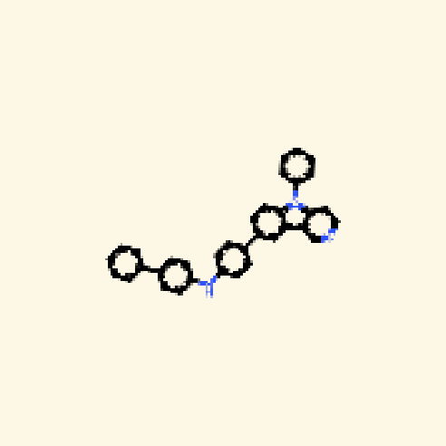 c1ccc(-c2ccc(Nc3ccc(-c4ccc5c(c4)c4cnccc4n5-c4ccccc4)cc3)cc2)cc1